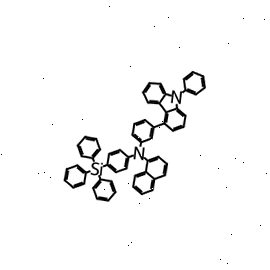 c1ccc(-n2c3ccccc3c3c(-c4cccc(N(c5ccc([Si](c6ccccc6)(c6ccccc6)c6ccccc6)cc5)c5cccc6ccccc56)c4)cccc32)cc1